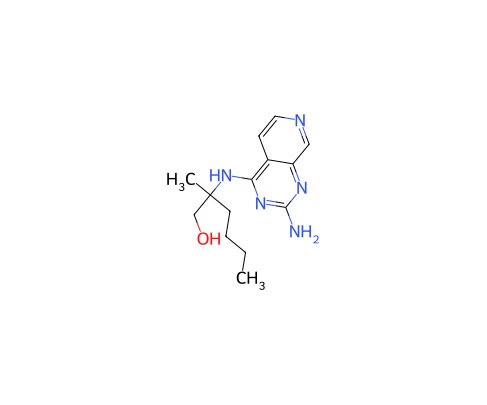 CCCCC(C)(CO)Nc1nc(N)nc2cnccc12